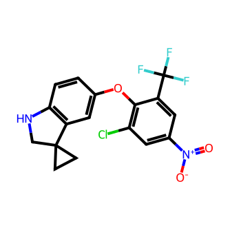 O=[N+]([O-])c1cc(Cl)c(Oc2ccc3c(c2)C2(CC2)CN3)c(C(F)(F)F)c1